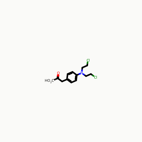 O=C(O)C(=O)Cc1ccc(N(CCCl)CCCl)cc1